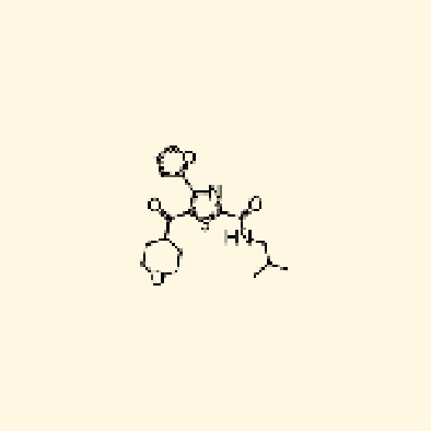 CC(C)CNC(=O)c1nc(-c2ccco2)c(C(=O)C2CCOCC2)s1